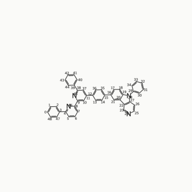 c1ccc(-c2cccc(-c3cc(-c4ccc(-c5ccc6c(c5)c5cnccc5n6-c5ccccc5)cc4)cc(-c4ccccc4)n3)n2)cc1